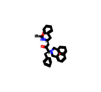 CC(C)(C)C(=O)N[C@H](CC(=O)[C@H](Cc1ccccc1)N(Cc1ccccc1)Cc1ccccc1)Cc1ccccc1